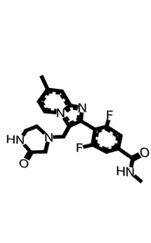 CNC(=O)c1cc(F)c(-c2nc3cc(C)ccn3c2CN2CCNC(=O)C2)c(F)c1